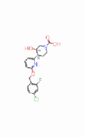 O=C(O)N1CC[C@@H](c2cccc(OCc3ccc(Cl)cc3F)n2)[C@@H](O)C1